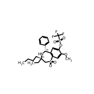 CCCC[C@]1(CC)CS(=O)(=O)c2cc(OC)c(OS(=O)(=O)C(F)(F)F)cc2[C@@H](c2ccccc2)N1